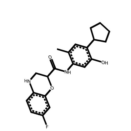 Cc1cc(C2CCCC2)c(O)cc1NC(=O)C1CNc2ccc(F)cc2O1